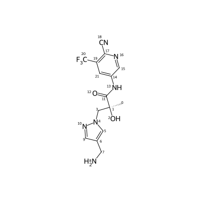 C[C@](O)(Cn1cc(CN)cn1)C(=O)Nc1cnc(C#N)c(C(F)(F)F)c1